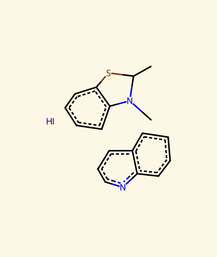 CC1Sc2ccccc2N1C.I.c1ccc2ncccc2c1